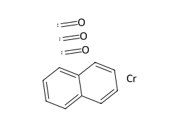 [C]=O.[C]=O.[C]=O.[Cr].c1ccc2ccccc2c1